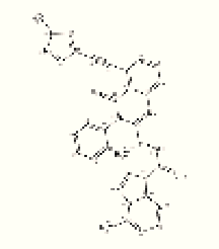 C=C(N[C@H](C)c1nc2cccc(C#Cc3cnn(C)c3)c2c(=O)n1-c1ccccc1)c1cnn2c(C)ccnc12